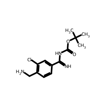 CC(C)(C)OC(=O)NC(=N)c1ccc(CN)c(Cl)c1